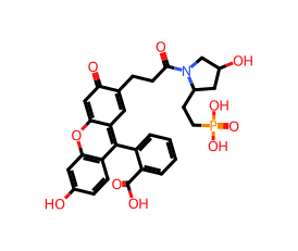 O=C(O)c1ccccc1-c1c2cc(CCC(=O)N3CC(O)CC3CCP(=O)(O)O)c(=O)cc-2oc2cc(O)ccc12